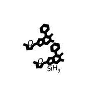 Cc1ccc(C2=Cc3c(cc(C)c(C)c3-c3ccccc3)C2)o1.Cc1ccc(C2=Cc3c(cc(C)c(C)c3-c3ccccc3)C2[SiH3])o1